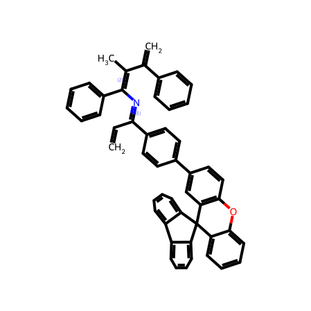 C=C/C(=N\C(=C(\C)C(=C)c1ccccc1)c1ccccc1)c1ccc(-c2ccc3c(c2)C2(c4ccccc4O3)c3ccccc3-c3ccccc32)cc1